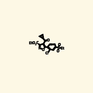 CCOC(=O)c1noc(-c2ccc(S(=O)(=O)CC)cc2Cl)c1C(=O)C1CC1